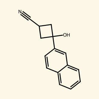 N#CC1CC(O)(c2ccc3ccccc3c2)C1